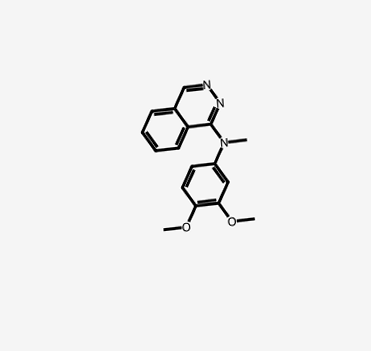 COc1ccc(N(C)c2nncc3ccccc23)cc1OC